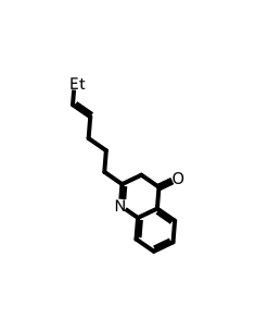 CCC=CCCCC1=Nc2ccccc2C(=O)C1